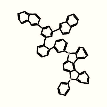 c1ccc(-n2c3ccccc3c3c4c5ccccc5n(-c5cccc(-c6ccccc6-c6cc(-c7ccc8ccccc8c7)cc(-c7ccc8ccccc8c7)c6)c5)c4ccc32)cc1